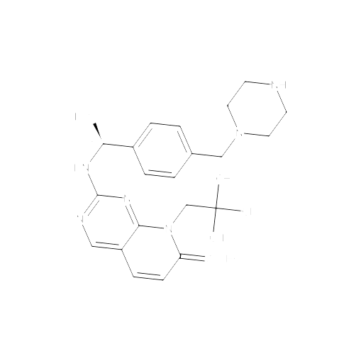 C[C@H](Nc1ncc2ccc(=O)n(CC(C)(C)C)c2n1)c1ccc(CN2CCNCC2)cc1.Cl